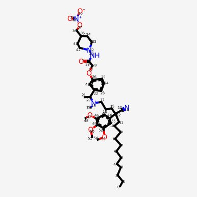 CCCCCCCCCCCCC(C#N)(CCCN(C)C(C)c1cccc(OCC(=O)NN2CCC(CO[N+](=O)[O-])CC2)c1)c1cc(OC)c(OC)c(OC)c1